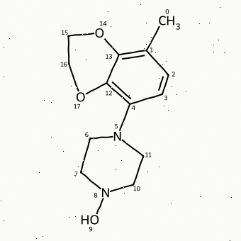 Cc1ccc(N2CCN(O)CC2)c2c1OCCO2